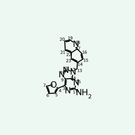 Nc1nc(-c2ccco2)c2nnn(Cc3ccc4ncccc4c3)c2n1